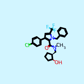 CN(C[C@@H]1CCC[C@@H]1O)C(=O)c1c(-c2ccc(Cl)cc2)cc(C(F)(F)F)n1Cc1ccccc1